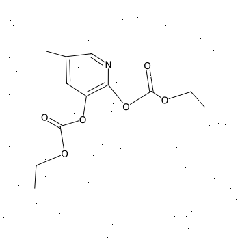 CCOC(=O)Oc1cc(C)cnc1OC(=O)OCC